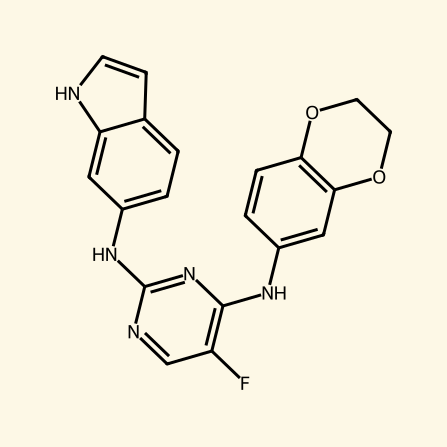 Fc1cnc(Nc2ccc3cc[nH]c3c2)nc1Nc1ccc2c(c1)OCCO2